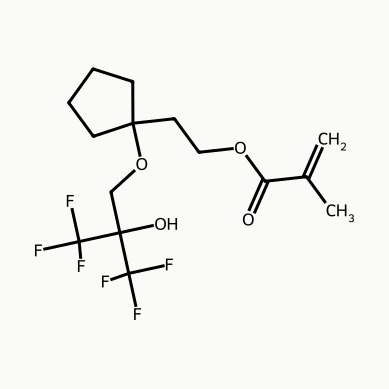 C=C(C)C(=O)OCCC1(OCC(O)(C(F)(F)F)C(F)(F)F)CCCC1